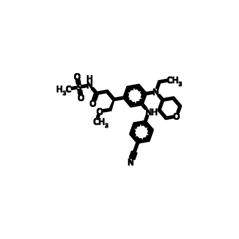 CCN(c1ccc([C@@H](COC)CC(=O)NS(C)(=O)=O)cc1Nc1ccc(C#N)cc1)C1CCOCC1